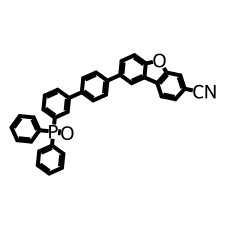 N#Cc1ccc2c(c1)oc1ccc(-c3ccc(-c4cccc(P(=O)(c5ccccc5)c5ccccc5)c4)cc3)cc12